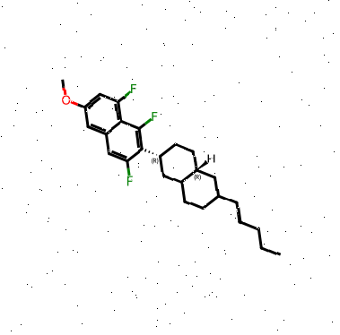 CCCCCC1CCC2C[C@H](c3c(F)cc4cc(OC)cc(F)c4c3F)CC[C@@H]2C1